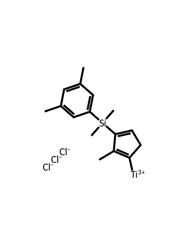 CC1=[C]([Ti+3])CC=C1[Si](C)(C)c1cc(C)cc(C)c1.[Cl-].[Cl-].[Cl-]